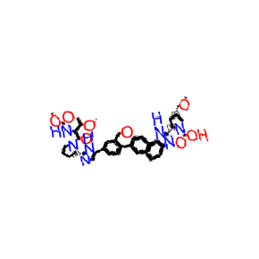 COC[C@H]1C[C@@H](c2nc3ccc4cc5c(cc4c3[nH]2)OCc2cc(-c3cnc([C@@H]4CCCN4C(=O)C(NC(=O)OC)C(C)OC)[nH]3)ccc2-5)N(C(=O)O)C1